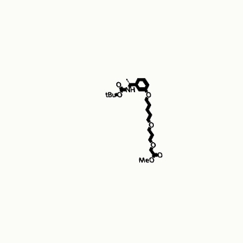 COC(=O)COCCCOCCCCCOC1=CC([C@@H](C)NC(=O)OC(C)(C)C)CC=C1